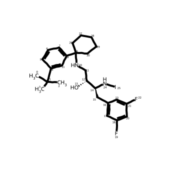 CC(C)(C)c1cccc(C2(NC[C@@H](O)[C@H](Cc3cc(F)cc(F)c3)NI)CCCCC2)c1